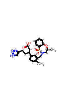 Cc1ccc(C(CCc2c[nH]nn2)CC(=O)O)cc1CN1C[C@@H](C)Oc2ccccc2S1(=O)=O